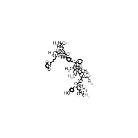 CCCO[C@H](C[C@H](C(C)C)N(CCC)C(=O)[C@@H](NC(=O)[C@H]1CCCCN1C(=O)OCc1ccc(NC(=O)[C@H](CCCNC(N)O)NC(=O)[C@@H](NC(=O)CCCCCN2C(=O)C=CC2=O)C(C)C)cc1)[C@@H](C)CC)c1nc(C(=O)N[C@@H](Cc2ccc(O)cc2)C[C@H](C)C(=O)OC)cs1